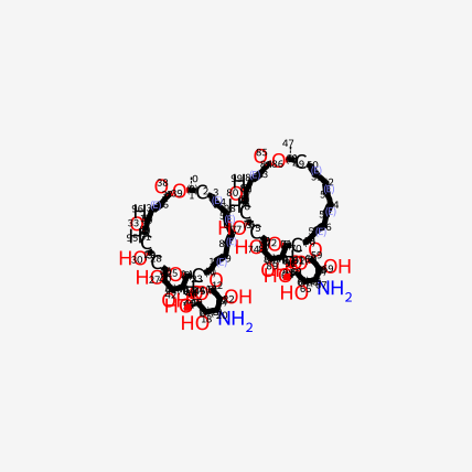 C[C@@H]1C/C=C/C=C/C=C/C=C/[C@H](O[C@@H]2O[C@H](C)[C@@H](O)[C@H](N)[C@@H]2O)C[C@@H]2O[C@](O)(C[C@@H](O)C[C@H]3O[C@@H]3/C=C/C(=O)O1)C[C@H](O)[C@H]2C(=O)O.C[C@@H]1C/C=C/C=C/C=C/C=C/[C@H](O[C@@H]2O[C@H](C)[C@@H](O)[C@H](N)[C@@H]2O)C[C@@H]2O[C@](O)(C[C@@H](O)C[C@H]3O[C@@H]3/C=C/C(=O)O1)C[C@H](O)[C@H]2C(=O)O